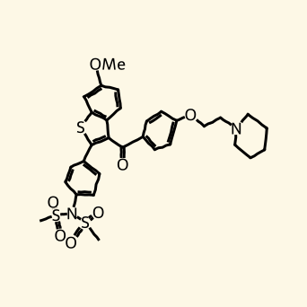 COc1ccc2c(C(=O)c3ccc(OCCN4CCCCC4)cc3)c(-c3ccc(N(S(C)(=O)=O)S(C)(=O)=O)cc3)sc2c1